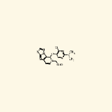 CN(C)c1ncc(OC2c3c(nc4scnn34)C=CN2CC=O)c(Cl)n1